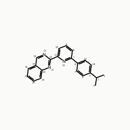 CC(C)c1ccc(-c2cccc(-c3ncc4ccccc4n3)n2)cc1